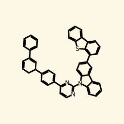 C1=CC(c2ccccc2)=CC(c2ccc(-c3ccnc(-n4c5ccccc5c5cc(-c6cccc7c6sc6ccccc67)ccc54)n3)cc2)C1